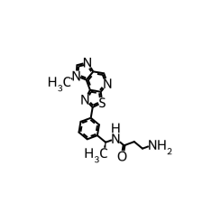 C[C@H](NC(=O)CCN)c1cccc(-c2nc3c(ncc4ncn(C)c43)s2)c1